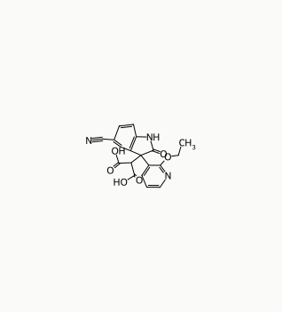 CCOc1ncccc1C1(C(C(=O)O)C(=O)O)C(=O)Nc2ccc(C#N)cc21